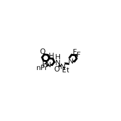 CCCN1C[C@@H](NC(=O)N(CC)CCN2CCC(F)(F)CC2)C[C@@H]2CC(=O)CC[C@H]21